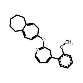 COc1ccccc1C1=CC=CN=C(OC2=CC=C3CCCCCC3=CC2)C1